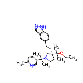 CCOC(C)(C)[C@@]1(CCc2ccc3[nH]ncc3c2)CCN(C(C)(C)c2ccc(C)nc2)C1